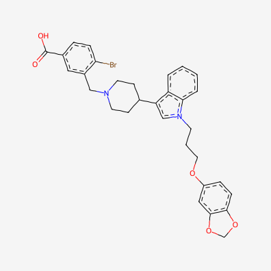 O=C(O)c1ccc(Br)c(CN2CCC(c3cn(CCCOc4ccc5c(c4)OCO5)c4ccccc34)CC2)c1